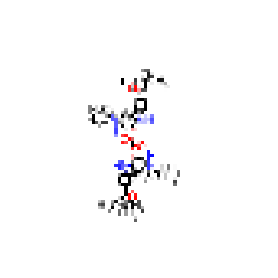 CC(C)(C)CC(=O)c1ccc2[nH]c3c(c2c1)CC(NC(C)(C)C)CC3OC(=O)C(=O)OC1CC(NC(C)(C)C)Cc2c1[nH]c1ccc(C(=O)CC(C)(C)C)cc21